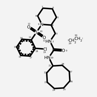 O=C(NCC1CCCCN1S(=O)(=O)c1ccccc1Cl)N[C]1CCCCCCC1.[CH2].[CH2]